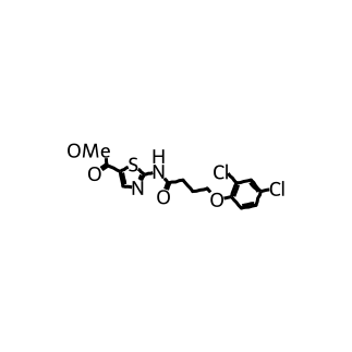 COC(=O)c1cnc(NC(=O)CCCOc2ccc(Cl)cc2Cl)s1